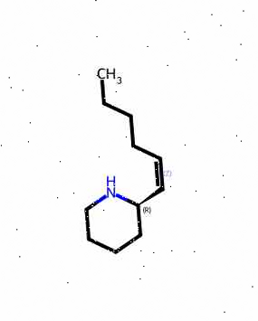 CCCC/C=C\[C@H]1CCCCN1